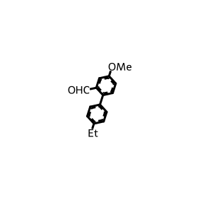 CCc1ccc(-c2ccc(OC)cc2C=O)cc1